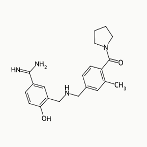 Cc1cc(CNCc2cc(C(=N)N)ccc2O)ccc1C(=O)N1CCCC1